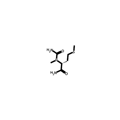 CSCC[C@H](C(N)=O)N(C)C(N)=O